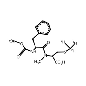 [2H]C([2H])([2H])SC[C@@H](C(=O)O)N(C)C(=O)[C@H](Cc1ccccc1)NC(=O)OC(C)(C)C